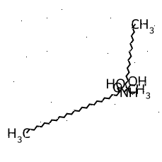 CCCCCCCCCCCCCCCCCCCCCCCCCC(=O)NC(C)C(O)C(O)CCCCCCCCCCCCCC